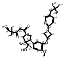 COc1ccc([C@@H]2CN(C(=O)[C@@H](C)C(=O)C(C)(C)C=O)C[C@@]2(C)[C@@H](C)O)cc1OC1CN(c2ccc(CC(F)(F)F)cn2)C1